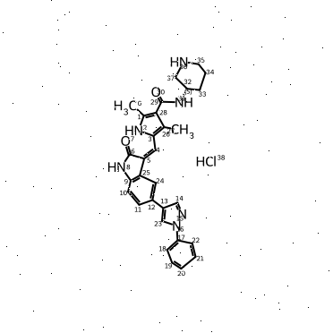 Cc1[nH]c(C=C2C(=O)Nc3ccc(-c4cnn(-c5ccccc5)c4)cc32)c(C)c1C(=O)N[C@H]1CCCNC1.Cl